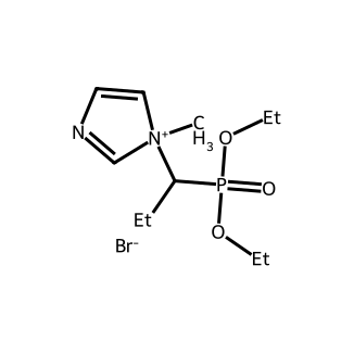 CCOP(=O)(OCC)C(CC)[N+]1(C)C=CN=C1.[Br-]